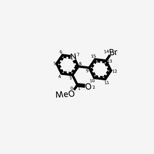 COC(=O)c1cccnc1-c1cccc(Br)c1